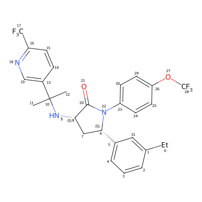 CCc1cccc([C@@H]2C[C@H](NC(C)(C)c3ccc(C(F)(F)F)nc3)C(=O)N2c2ccc(OC(F)(F)F)cc2)c1